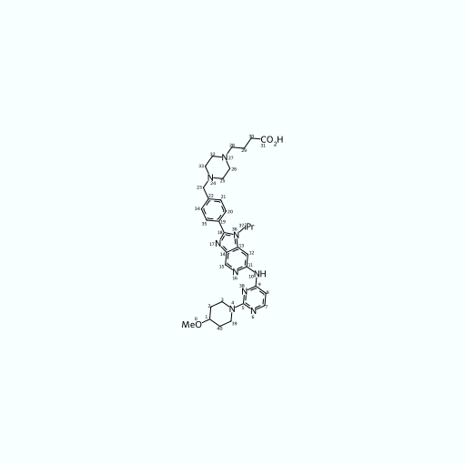 COC1CCN(c2nccc(Nc3cc4c(cn3)nc(-c3ccc(CN5CCN(CCCC(=O)O)CC5)cc3)n4C(C)C)n2)CC1